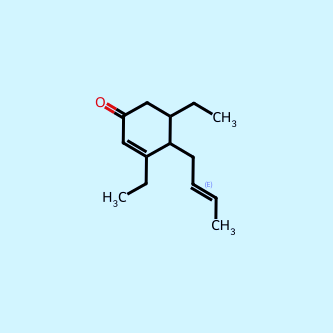 C/C=C/CC1C(CC)=CC(=O)CC1CC